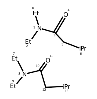 CCN(CC)C(=O)CC(C)C.CCN(CC)C(=O)CC(C)C